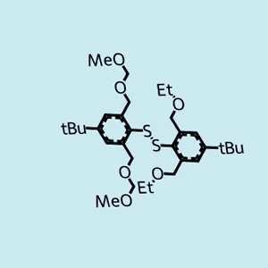 CCOCc1cc(C(C)(C)C)cc(COCC)c1SSc1c(COCOC)cc(C(C)(C)C)cc1COCOC